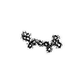 c1cc2ccc3cc(-n4c5ccccc5c5cc(-c6ccc(-c7ccc8c(c7)c7ccccc7n8-c7cc8c9ccccc9n9c%10ccccc%10c(c7)c89)cc6)ccc54)cc4ccc(c1)c2c34